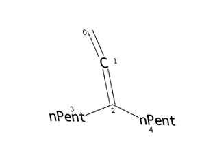 C=C=C(CCCCC)CCCCC